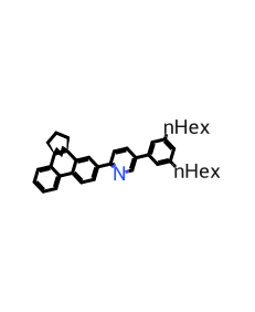 CCCCCCc1cc(CCCCCC)cc(-c2ccc(-c3ccc4c(c3)[C@]35CCC[C@]3(CCC5)c3ccccc3-4)nc2)c1